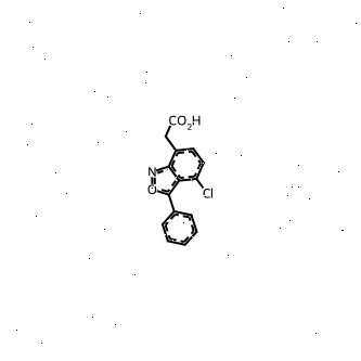 O=C(O)Cc1ccc(Cl)c2c(-c3ccccc3)onc12